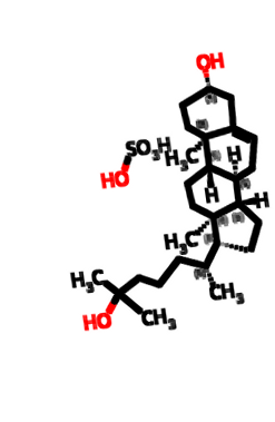 C[C@H](CCCC(C)(C)O)[C@H]1CC[C@H]2[C@@H]3CC=C4C[C@@H](O)CC[C@]4(C)[C@H]3CC[C@]12C.O=S(=O)(O)O